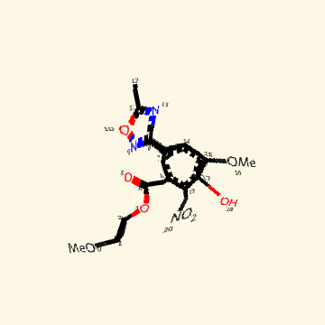 COCCOC(=O)c1c(-c2noc(C)n2)cc(OC)c(O)c1[N+](=O)[O-]